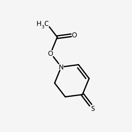 CC(=O)ON1C=CC(=S)CC1